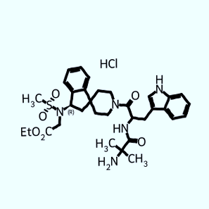 CCOC(=O)CN([C@@H]1CC2(CCN(C(=O)C(Cc3c[nH]c4ccccc34)NC(=O)C(C)(C)N)CC2)c2ccccc21)S(C)(=O)=O.Cl